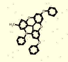 Cc1cc2c3c(c1)N(c1ccccc1)c1cc(Oc4ccccc4)cc4c1C3c1c(cc(Oc3ccccc3)cc1O4)O2